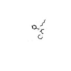 [CH2]CC(O)CC(O)CCn1c(-c2ccc(F)cc2)nc(C(=O)N2CCC(C(=O)OCC)CC2)c1C(C)C